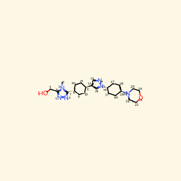 Cn1c(CO)nnc1[C@H]1CC[C@H](c2cnn([C@H]3CC[C@H](N4CCOCC4)CC3)c2)CC1